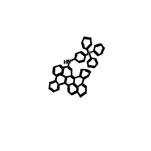 c1ccc(-c2ccccc2-c2c3ccccc3c(-c3ccccc3-c3ccccc3)c3cc(Nc4ccc([N+](c5ccccc5)(c5ccccc5)c5ccccc5)cc4)ccc23)cc1